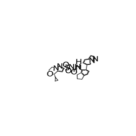 O=C(Nc1c(-c2ccc3ccnn3c2)ccc2c1CCC2)NS(=O)(=O)c1cc2n(n1)CCO[C@@H]2C1CC1